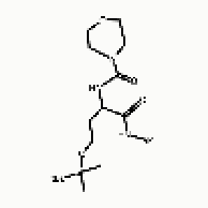 CC(C)NC(=O)C(CCO[Si](C)(C)C(C)(C)C)NC(=O)N1CCOCC1